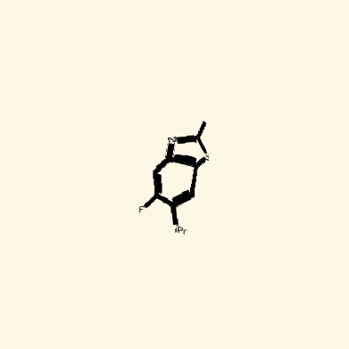 Cc1nc2cc(F)c(C(C)C)cc2s1